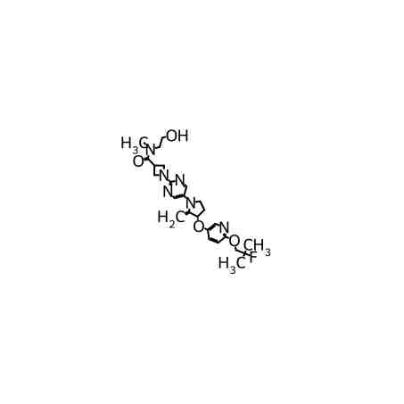 C=C1[C@H](Oc2ccc(OCC(C)(C)F)nc2)CCN1c1cnc(N2CC(C(=O)N(C)CCO)C2)nc1